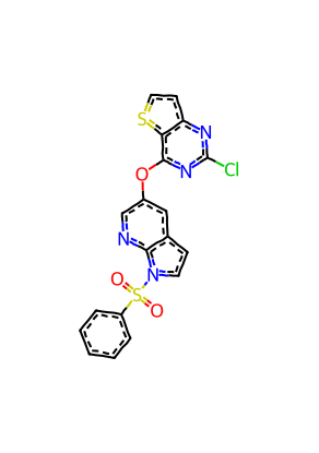 O=S(=O)(c1ccccc1)n1ccc2cc(Oc3nc(Cl)nc4ccsc34)cnc21